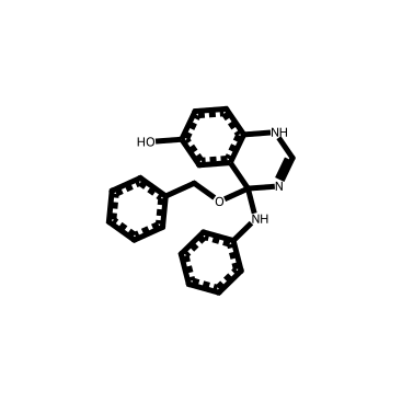 Oc1ccc2c(c1)C(Nc1ccccc1)(OCc1ccccc1)N=CN2